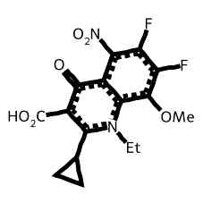 CCn1c(C2CC2)c(C(=O)O)c(=O)c2c([N+](=O)[O-])c(F)c(F)c(OC)c21